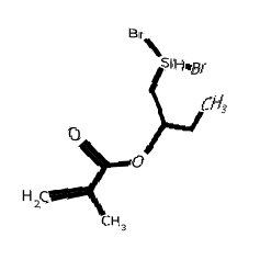 C=C(C)C(=O)OC(CC)C[SiH](Br)Br